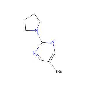 CC(C)(C)c1cnc(N2CCCC2)nc1